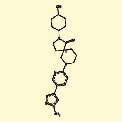 Cn1cc(-c2ccc(N3CCC[C@]4(CCN(C5CCC(O)CC5)C4=O)C3)nc2)cn1